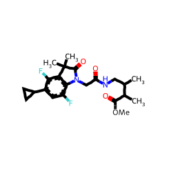 COC(=O)C(C)C(C)CNC(=O)CN1C(=O)C(C)(C)c2c(F)c(C3CC3)cc(F)c21